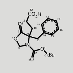 CC(C)(C)OC(=O)N1COC(=O)C1(CCC(=O)O)Cc1ccccc1